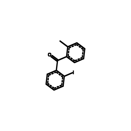 Cc1ccccc1C(=O)c1ccccc1I